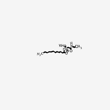 CCCCCCCCCCCC(=O)OS(=O)(=O)CC(=O)NCC.[KH]